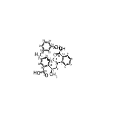 CC(CC(C)c1ccccc1C(=O)O)c1ccccc1C(=O)O.Cc1cccc(C)c1